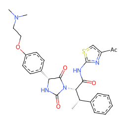 CC(=O)c1csc(NC(=O)[C@H]([C@@H](C)c2ccccc2)N2C(=O)N[C@H](c3ccc(OCCN(C)C)cc3)C2=O)n1